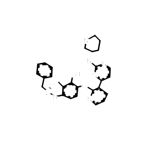 Cc1c(Oc2ncccc2-c2ccnc(N[C@H]3CCCNC3)n2)ccc(NS(=O)(=O)Cc2ccccc2)c1F